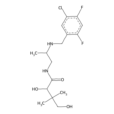 CC(CNC(=O)C(O)C(C)(C)CO)NCc1cc(Cl)c(F)cc1F